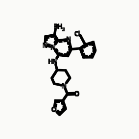 Bc1cnn2c(NC3CCN(C(=O)c4ccoc4)CC3)cc(-c3ccccc3Cl)nc12